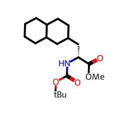 COC(=O)[C@@H](CC1CCC2CCCCC2C1)NC(=O)OC(C)(C)C